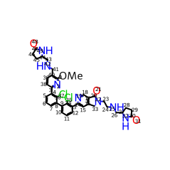 COc1nc(-c2cccc(-c3cccc(-c4cc5c(cn4)C(=O)N(CCNCC4CCC(=O)N4)C5)c3Cl)c2Cl)ccc1CNCC1CCC(=O)N1